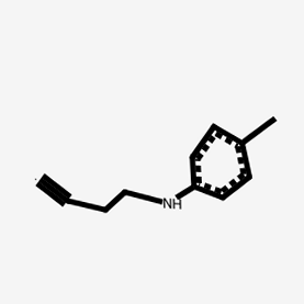 [C]#CCCNc1ccc(C)cc1